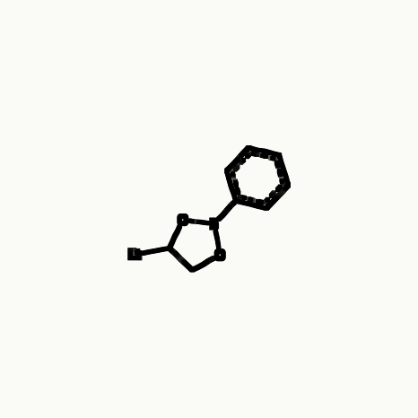 CCC1COB(c2ccccc2)O1